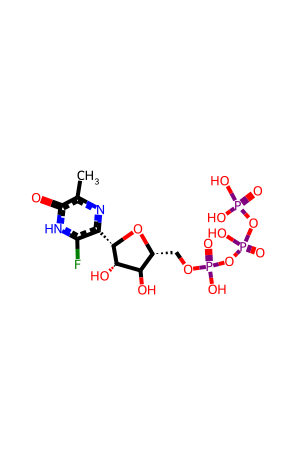 Cc1nc([C@@H]2O[C@H](COP(=O)(O)OP(=O)(O)OP(=O)(O)O)C(O)[C@@H]2O)c(F)[nH]c1=O